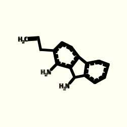 C=CCc1ccc2c(c1N)C(N)c1ccccc1-2